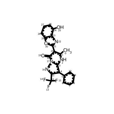 Cc1[nH]c2c(-c3ccccc3)c(C(F)(F)F)nn2c(=O)c1-c1nc2c(O)cccc2o1